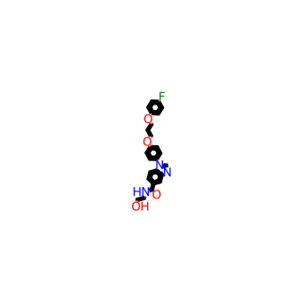 O=C(NCCO)c1ccc2c(c1)ncn2-c1ccc(OCCCOc2ccc(F)cc2)cc1